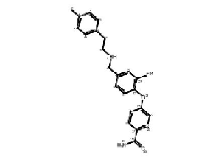 Cc1ccc(CCNCc2ccc(Oc3ccc(C(N)=O)nc3)c(F)c2)cc1